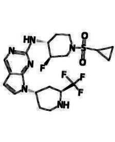 O=S(=O)(C1CC1)N1CC[C@@H](Nc2ncc3ccn([C@H]4CCN[C@H](C(F)(F)F)C4)c3n2)[C@H](F)C1